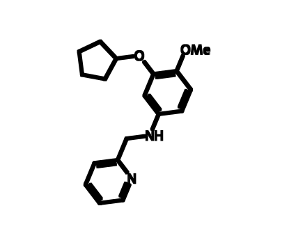 COc1ccc(NCc2ccccn2)cc1OC1CCCC1